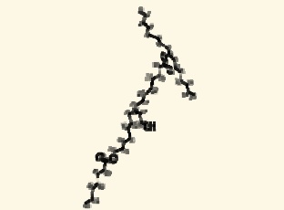 CCCCCCCCC(CCCCCCC)OC(=O)CCCCCCCN(CCO)CCCCCCCOC(=O)CCCCCC